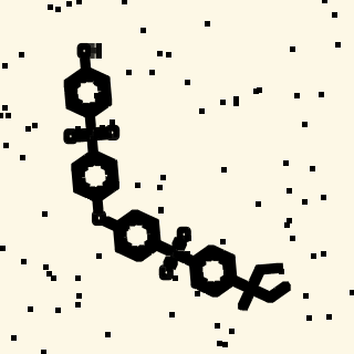 CCC(C)(CC)c1ccc(S(=O)(=O)c2ccc(Oc3ccc(S(=O)(=O)c4ccc(O)cc4)cc3)cc2)cc1